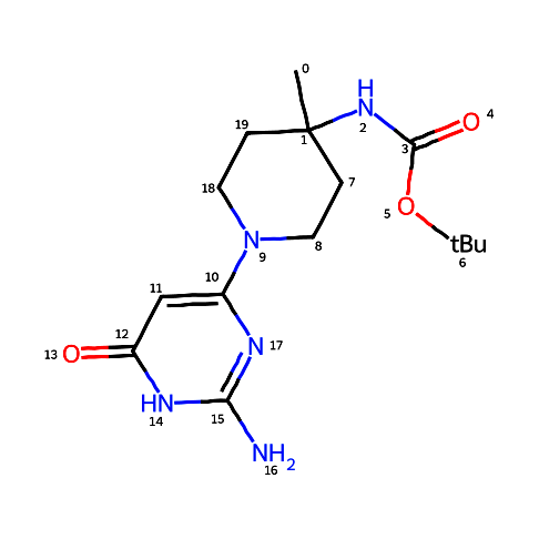 CC1(NC(=O)OC(C)(C)C)CCN(c2cc(=O)[nH]c(N)n2)CC1